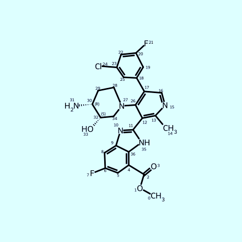 COC(=O)c1cc(F)cc2nc(-c3c(C)ncc(-c4cc(F)cc(Cl)c4)c3N3CC[C@@H](N)[C@@H](O)C3)[nH]c12